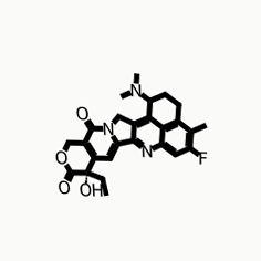 CC[C@@]1(O)C(=O)OCc2c1cc1n(c2=O)Cc2c-1nc1cc(F)c(C)c3c1c2C(N(C)C)CC3